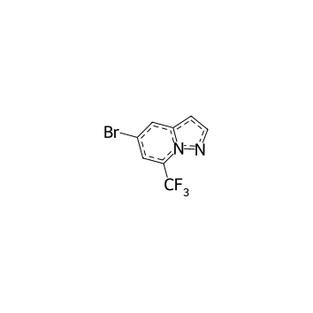 FC(F)(F)c1cc(Br)cc2ccnn12